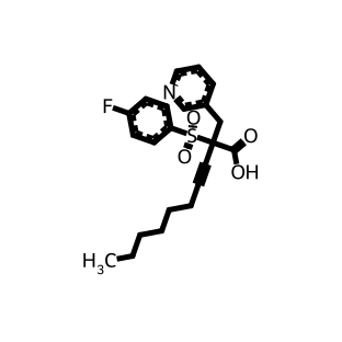 CCCCCCC#CC(Cc1cccnc1)(C(=O)O)S(=O)(=O)c1ccc(F)cc1